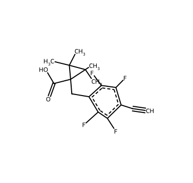 C#Cc1c(F)c(F)c(CC2(C(=O)O)C(C)(C)C2(C)C)c(F)c1F